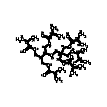 C=C(C)C(=O)OCC(COC(=O)C(C)C)C(COC(=O)C(=C)C)OCC(COC(=O)C(=C)C)(COC(=O)C(=C)C)COC(O)C(C)C